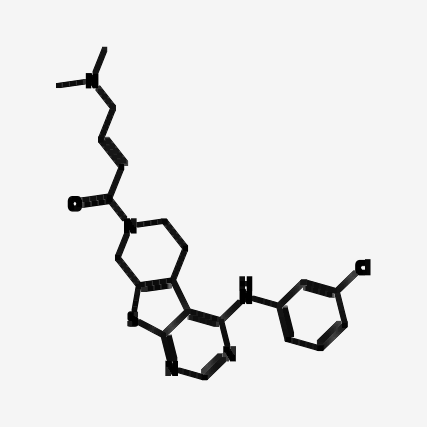 CN(C)CC=CC(=O)N1CCc2c(sc3ncnc(Nc4cccc(Cl)c4)c23)C1